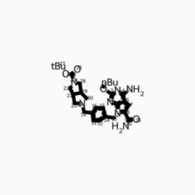 CCCCOc1nc(N)c2cc(C(N)=O)n(Cc3ccc(CN4CC5CN(C(=O)OC(C)(C)C)CC5C4)cc3)c2n1